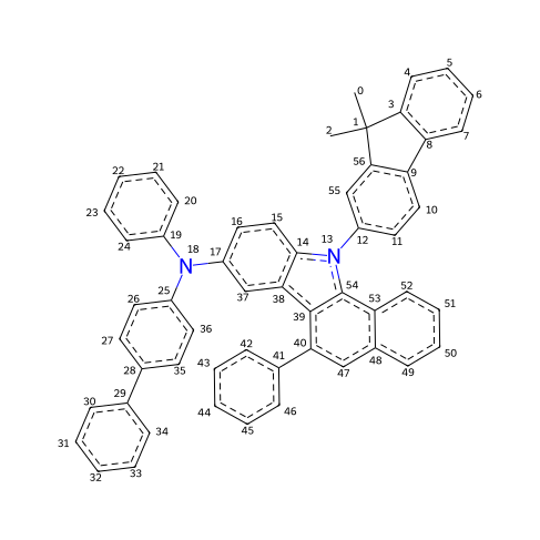 CC1(C)c2ccccc2-c2ccc(-n3c4ccc(N(c5ccccc5)c5ccc(-c6ccccc6)cc5)cc4c4c(-c5ccccc5)cc5ccccc5c43)cc21